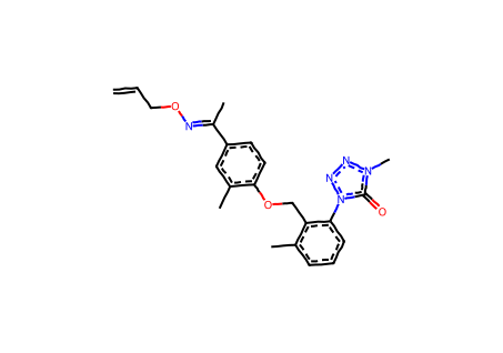 C=CCON=C(C)c1ccc(OCc2c(C)cccc2-n2nnn(C)c2=O)c(C)c1